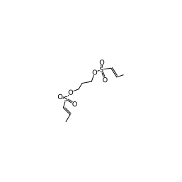 CC=CS(=O)(=O)OCCCOS(=O)(=O)C=CC